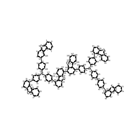 c1ccc2c(c1)oc1ccc(-c3ccc(N(c4ccc(-c5cccc6oc7ccccc7c56)cc4)c4ccc(-c5cccc6oc7c(-c8ccc(-c9ccc(N(c%10ccc(-c%11ccc(-c%12cccc%13c%12sc%12ccccc%12%13)cc%11)cc%10)c%10ccc(-c%11cccc%12oc%13ccccc%13c%11%12)cc%10)cc9)c9c8oc8ccccc89)cccc7c56)cc4)cc3)cc12